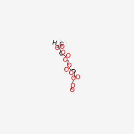 COC(=O)c1ccc(C(=O)OCCOC(=O)c2ccc(C(=O)OCCOC=O)o2)o1